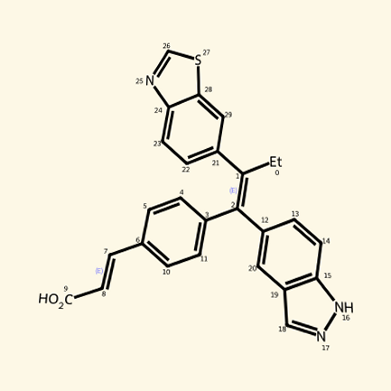 CC/C(=C(/c1ccc(/C=C/C(=O)O)cc1)c1ccc2[nH]ncc2c1)c1ccc2ncsc2c1